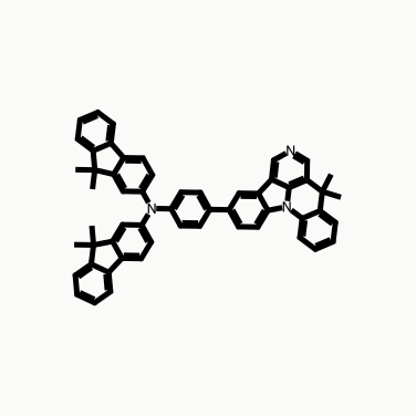 CC1(C)c2ccccc2-c2ccc(N(c3ccc(-c4ccc5c(c4)c4cncc6c4n5-c4ccccc4C6(C)C)cc3)c3ccc4c(c3)C(C)(C)c3ccccc3-4)cc21